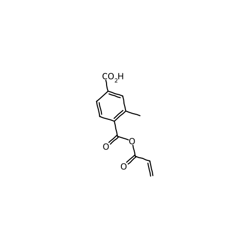 C=CC(=O)OC(=O)c1ccc(C(=O)O)cc1C